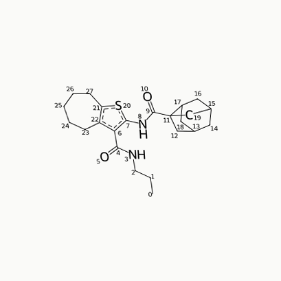 CCCNC(=O)c1c(NC(=O)C23CC4CC(CC2C4)C3)sc2c1CCCCC2